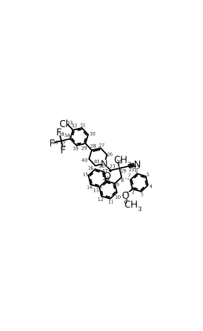 COc1ccccc1[C@H](c1cccc2ccccc12)[C@@](C)(C#N)C(=O)N1CC=C(c2ccc(Cl)c(C(F)(F)F)c2)CC1